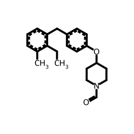 CCc1c(C)cccc1Cc1ccc(OC2CCN(C=O)CC2)cc1